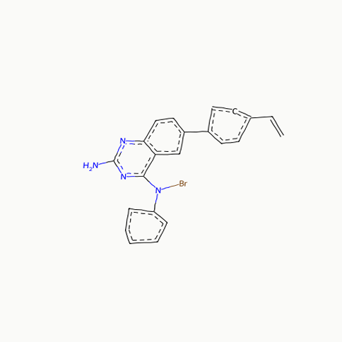 C=Cc1ccc(-c2ccc3nc(N)nc(N(Br)c4ccccc4)c3c2)cc1